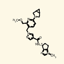 COCc1nc(N2CC3CC3C2)ccc1Cn1cc(C(=O)N[C@@H]2CCc3c2ncn3C)cn1